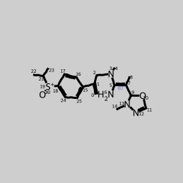 C=C(CN(C)/C(N)=C(\C)C1OC=NN1C)c1ccc([S+]([O-])C(C)C)cc1